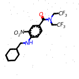 O=C(c1ccc(NCC2CCCCC2)c([N+](=O)[O-])c1)N(CC(F)(F)F)CC(F)(F)F